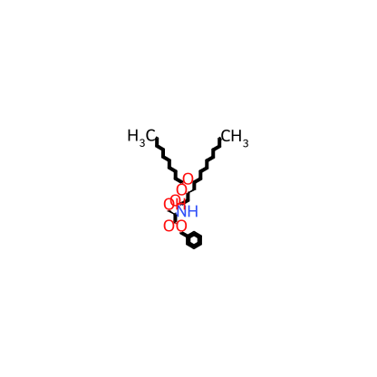 CCCCCCCCCCC[C@@H](CC(=O)N[C@H](CO)C(=O)OCc1ccccc1)OC(=O)CCCCCCCCC